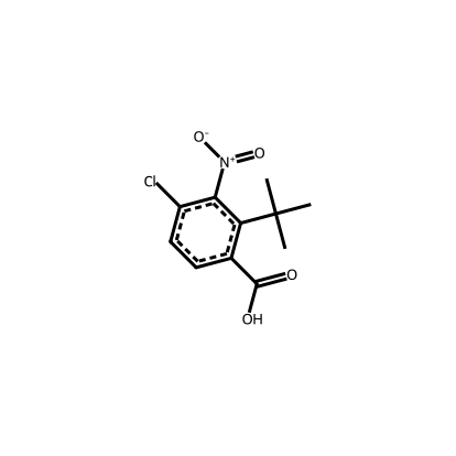 CC(C)(C)c1c(C(=O)O)ccc(Cl)c1[N+](=O)[O-]